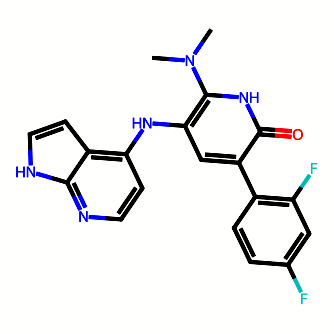 CN(C)c1[nH]c(=O)c(-c2ccc(F)cc2F)cc1Nc1ccnc2[nH]ccc12